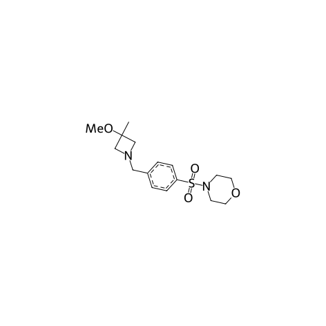 COC1(C)CN(Cc2ccc(S(=O)(=O)N3CCOCC3)cc2)C1